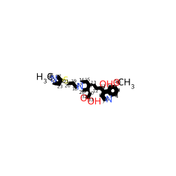 COc1ccc2nccc([C@@H](O)CC[C@@H]3CCN(CCCSc4ccn(C)c4)C[C@@H]3CC(=O)O)c2c1